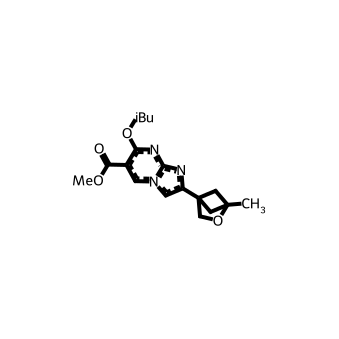 CCC(C)Oc1nc2nc(C34COC(C)(C3)C4)cn2cc1C(=O)OC